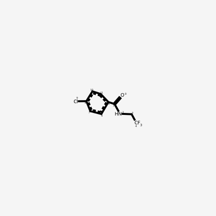 O=C(NCC(F)(F)F)c1ccc(Cl)cc1